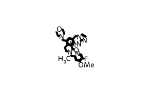 CNc1nccn1Cc1cc(CN2CCOCC2)c2c(c1)C(=O)N(C(C)c1cc(OC)c(F)cn1)CC2